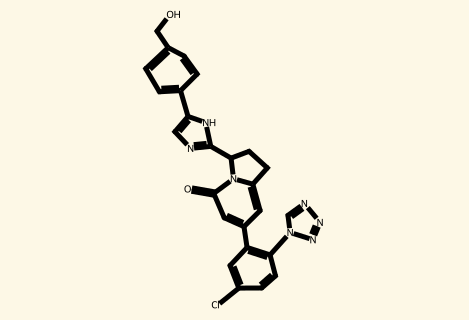 O=c1cc(-c2cc(Cl)ccc2-n2cnnn2)cc2n1C(c1ncc(-c3ccc(CO)cc3)[nH]1)CC2